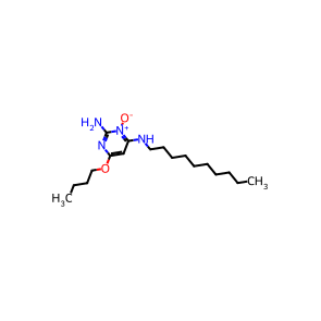 CCCCCCCCCCNc1cc(OCCCC)nc(N)[n+]1[O-]